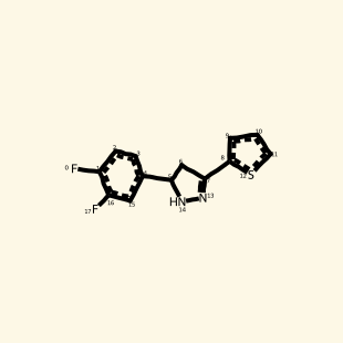 Fc1ccc(C2CC(c3cccs3)=NN2)cc1F